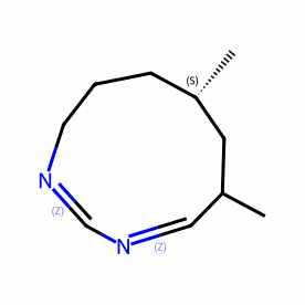 CC1/C=N\C=N/CCC[C@H](C)C1